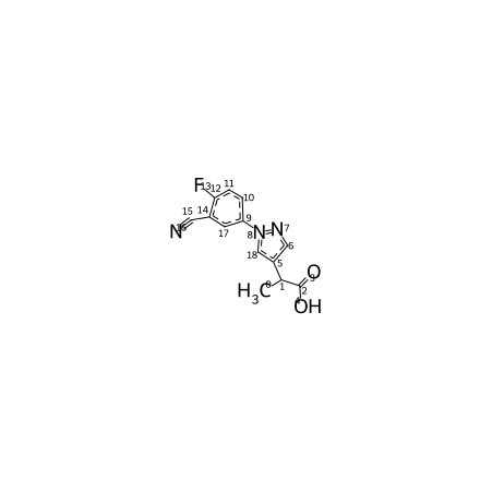 CC(C(=O)O)c1cnn(-c2ccc(F)c(C#N)c2)c1